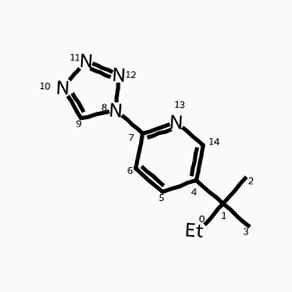 CCC(C)(C)c1ccc(-n2cnnn2)nc1